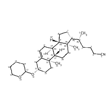 C[C@H](CCCC#N)[C@H]1CC[C@H]2[C@@H]3CC=C4C[C@@H](OC5CCCCO5)CC[C@]4(C)[C@H]3CC[C@]12C